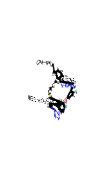 CCOC(=O)C1Cc2c(c(F)cc3[nH]ccc23)Oc2ccc(F)c(c2)-c2ncc([nH]2)C(C)(c2cccc(CCC=O)c2)CCCCCS1